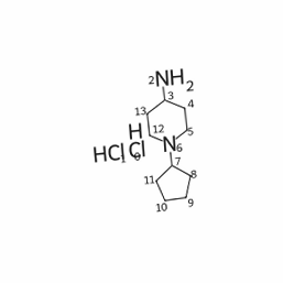 Cl.Cl.NC1CCN(C2CCCC2)CC1